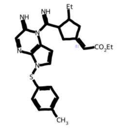 CCOC(=O)/C=C1\CC(CC)C(C(=N)n2c(=N)cnc3c2ccn3Sc2ccc(C)cc2)C1